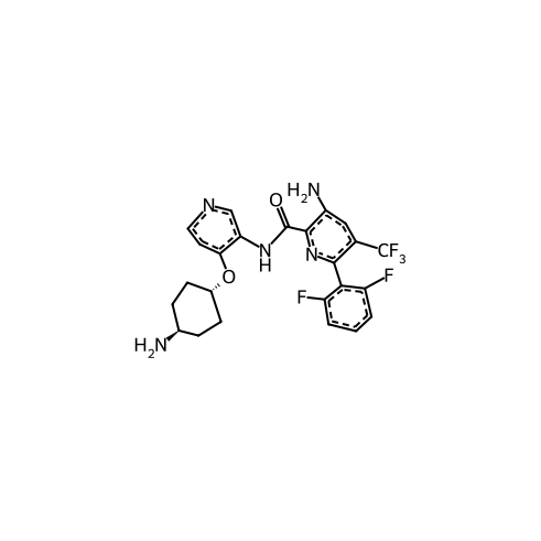 Nc1cc(C(F)(F)F)c(-c2c(F)cccc2F)nc1C(=O)Nc1cnccc1O[C@H]1CC[C@H](N)CC1